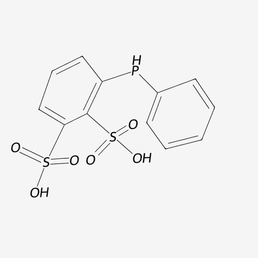 O=S(=O)(O)c1cccc(Pc2ccccc2)c1S(=O)(=O)O